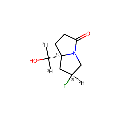 [2H]C([2H])(O)[C@]12CCC(=O)N1C[C@@]([2H])(F)C2